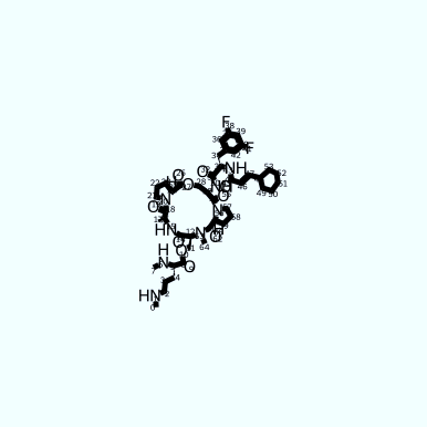 CNCCC[C@H](NC)C(=O)OC[C@H]1C(=O)N[C@@H](C)C(=O)N2CCC[C@H]2C(=O)OC[C@H](NC(=O)[C@H](Cc2cc(F)cc(F)c2)NC(=O)/C=C/C2CCCCC2)C(=O)N2CCC[C@H]2C(=O)N1C